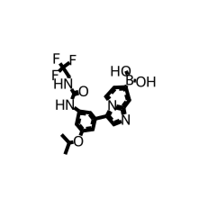 CC(C)Oc1cc(NC(=O)NCC(F)(F)F)cc(-c2cnc3cc(B(O)O)ccn23)c1